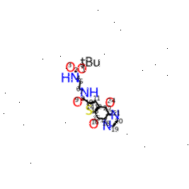 CC(C)(C)OC(=O)NCCNC(=O)c1cc2c(s1)C(=O)c1nccnc1C2=O